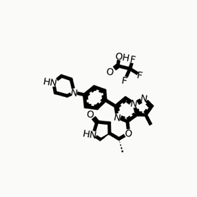 Cc1cnn2cc(-c3ccc(N4CCNCC4)cc3)nc(O[C@H](C)[C@H]3CNC(=O)C3)c12.O=C(O)C(F)(F)F